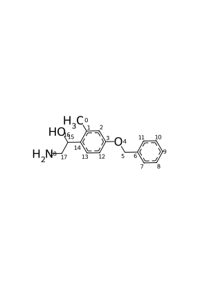 Cc1cc(OCc2ccccc2)ccc1C(O)CN